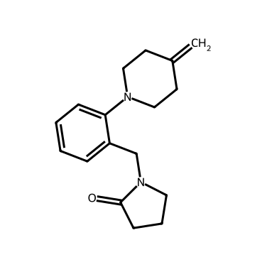 C=C1CCN(c2ccccc2CN2CCCC2=O)CC1